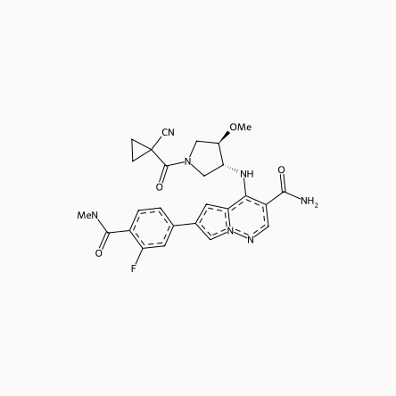 CNC(=O)c1ccc(-c2cc3c(N[C@@H]4CN(C(=O)C5(C#N)CC5)C[C@H]4OC)c(C(N)=O)cnn3c2)cc1F